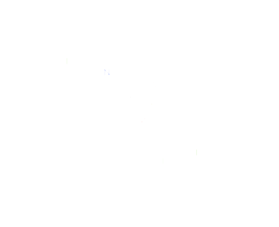 O=S(=O)(c1cc(F)cc(F)c1)c1cnc2c(F)cccc2c1-c1cccc(F)c1